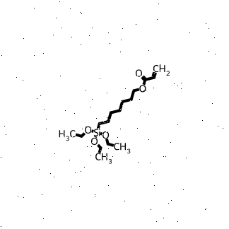 C=CC(=O)OCCCCCCC[Si](OCC)(OCC)OCC